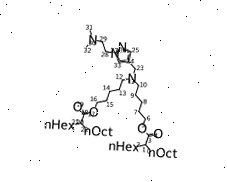 CCCCCCCCC(CCCCCC)C(=O)OCCCCCN(CCCCCOC(=O)C(CCCCCC)CCCCCCCC)Cc1cnn(CCN(C)C)c1